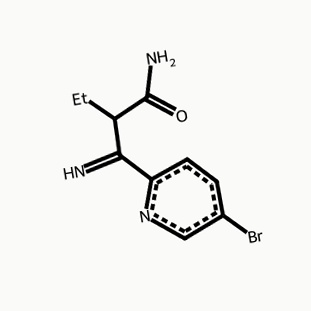 CCC(C(=N)c1ccc(Br)cn1)C(N)=O